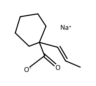 CC=CC1(C(=O)[O-])CCCCC1.[Na+]